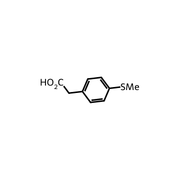 CSc1ccc(CC(=O)O)cc1